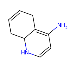 NC1=C2CC=CCC2NC=C1